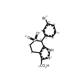 O=C(O)c1n[nH]c2c1CCS(=O)(=O)C2c1cccc(Br)c1